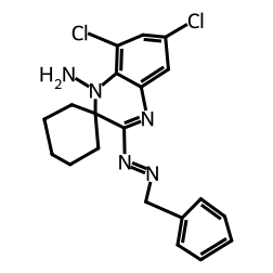 NN1c2c(Cl)cc(Cl)cc2N=C(N=NCc2ccccc2)C12CCCCC2